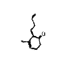 CCCCC1C(=O)CCC=C1C